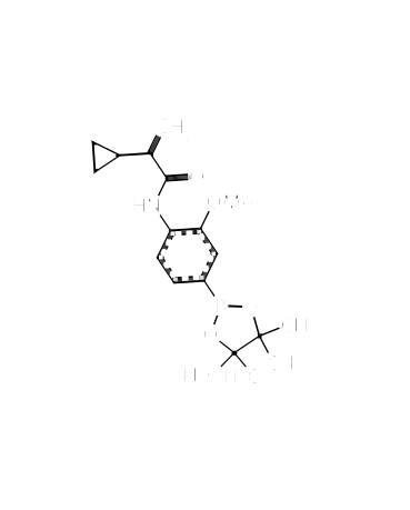 C=C(C(=O)Nc1ccc(B2OC(C)(C)C(C)(C)O2)cc1OC)C1CC1